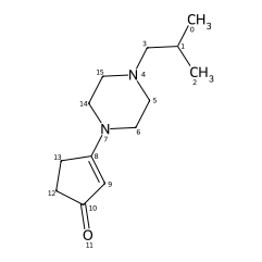 CC(C)CN1CCN(C2=CC(=O)CC2)CC1